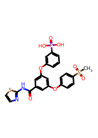 CS(=O)(=O)c1ccc(Oc2cc(Oc3cccc(P(=O)(O)O)c3)cc(C(=O)Nc3nccs3)c2)cc1